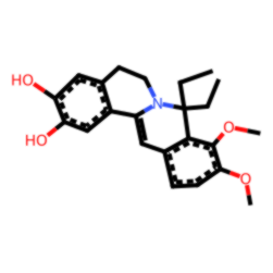 CCC1(CC)c2c(ccc(OC)c2OC)C=C2c3cc(O)c(O)cc3CCN21